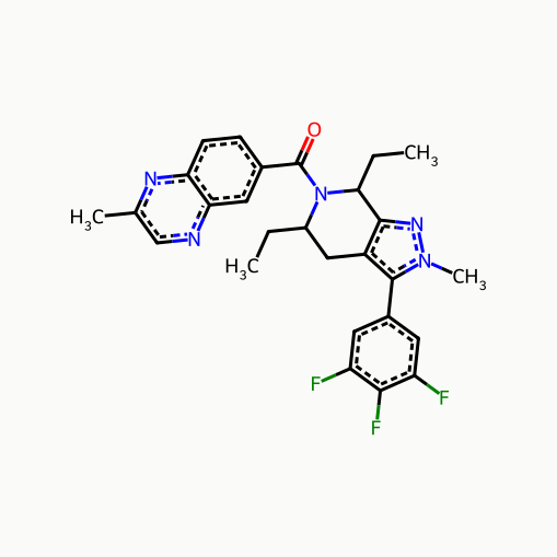 CCC1Cc2c(nn(C)c2-c2cc(F)c(F)c(F)c2)C(CC)N1C(=O)c1ccc2nc(C)cnc2c1